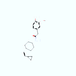 COc1cc(CC(=O)N[C@H]2CC[C@H](/C=C\C3CC3)CC2)ccc1O